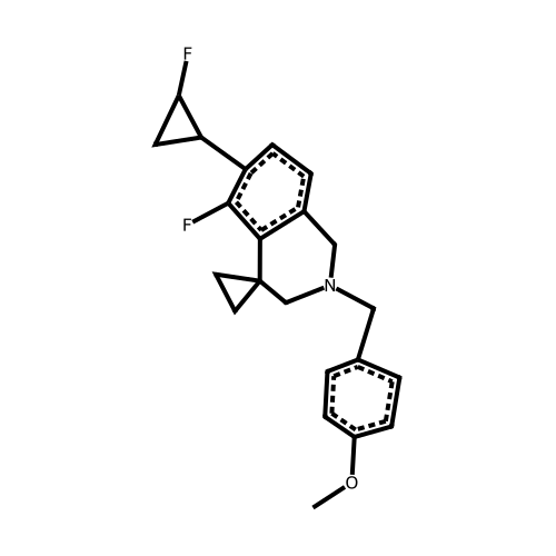 COc1ccc(CN2Cc3ccc(C4CC4F)c(F)c3C3(CC3)C2)cc1